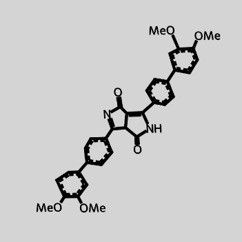 COc1ccc(-c2ccc(C3=NC(=O)C4=C(c5ccc(-c6ccc(OC)c(OC)c6)cc5)NC(=O)C34)cc2)cc1OC